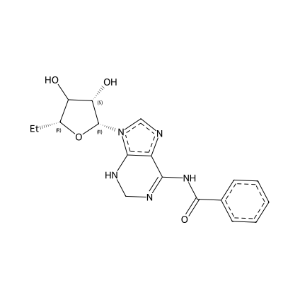 CC[C@H]1O[C@@H](n2cnc3c2NCN=C3NC(=O)c2ccccc2)[C@@H](O)C1O